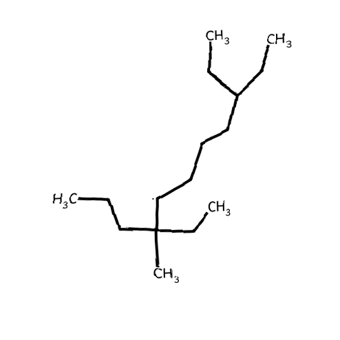 CCCC(C)([CH]CCCC(CC)CC)CC